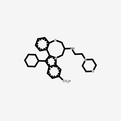 O=C(O)c1ccc2c(C3CCCCC3)c3n(c2c1)CC(NCCN1CCOCC1)COc1ccccc1-3